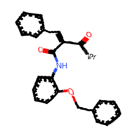 CC(C)C(=O)C(=Cc1ccccc1)C(=O)Nc1ccccc1OCc1ccccc1